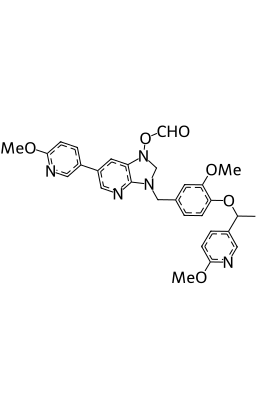 COc1ccc(-c2cnc3c(c2)N(OC=O)CN3Cc2ccc(OC(C)c3ccc(OC)nc3)c(OC)c2)cn1